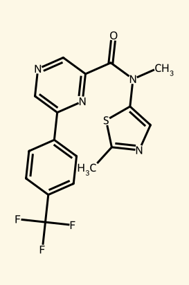 Cc1ncc(N(C)C(=O)c2cncc(-c3ccc(C(F)(F)F)cc3)n2)s1